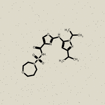 CC(C)c1cc(Nc2nc(C(=O)NS(=O)(=O)N3CCCOCC3)co2)n(C(C)C)n1